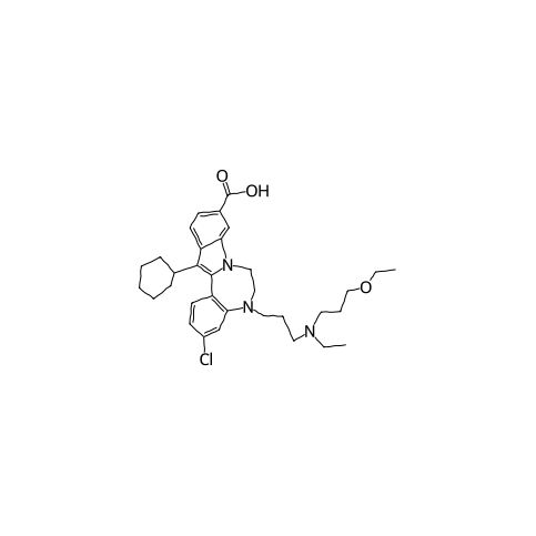 CCOCCCN(CC)CCCN1CCn2c(c(C3CCCCC3)c3ccc(C(=O)O)cc32)-c2ccc(Cl)cc21